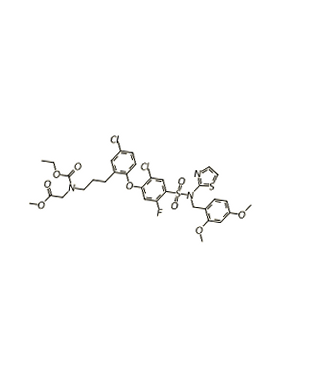 CCOC(=O)N(CCCc1cc(Cl)ccc1Oc1cc(F)c(S(=O)(=O)N(Cc2ccc(OC)cc2OC)c2nccs2)cc1Cl)CC(=O)OC